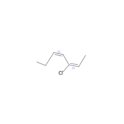 C/C=C(Cl)\C=C/CC